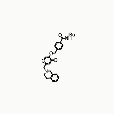 CC(C)(C)NC(=O)c1ccc(COc2coc(CN3CCc4ccccc4C3)cc2=O)cc1